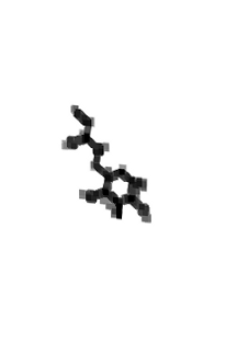 C=CC(=O)OCc1c[nH]c(=O)[nH]c1=O